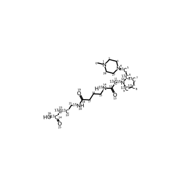 CN1CCN([13CH2][13CH]2[13CH2][13CH2][13CH2][15N]2[13CH2]C(=O)[15NH]CCCC(=O)[15NH]C[13CH2][13CH2][13C](=O)O)CC1